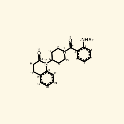 CC(=O)Nc1ccccc1C(=O)N1CCC(N2C(=O)CCc3ccccc32)CC1